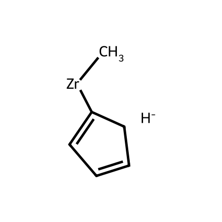 [CH3][Zr][C]1=CC=CC1.[H-]